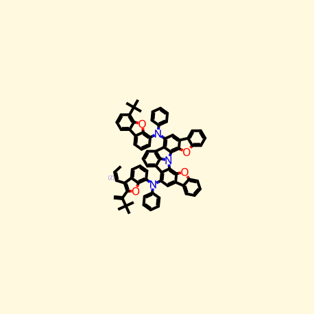 C=C(c1oc2c(N(c3ccccc3)c3cc4c5ccccc5oc4c4c3c3cccc5c6c(N(c7ccccc7)c7cccc8c7oc7c(C(C)(C)C)cccc78)cc7c8ccccc8oc7c6n4c35)cccc2c1/C=C\C)C(C)(C)C